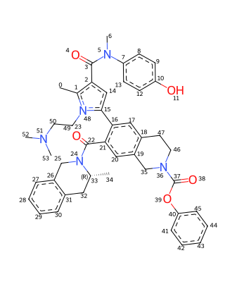 Cc1c(C(=O)N(C)c2ccc(O)cc2)cc(-c2cc3c(cc2C(=O)N2Cc4ccccc4C[C@H]2C)CN(C(=O)Oc2ccccc2)CC3)n1CCN(C)C